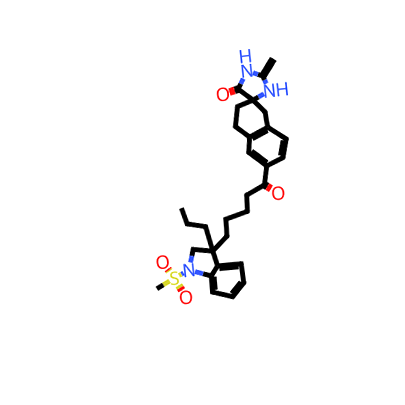 C=C1NC(=O)C2(CCc3cc(C(=O)CCCCC4(CCC)CN(S(C)(=O)=O)c5ccccc54)ccc3C2)N1